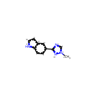 Cn1cnc(-c2ccc3[nH]ccc3c2)n1